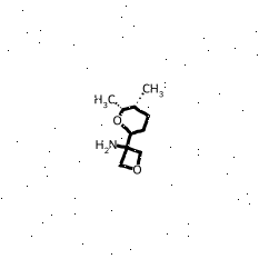 C[C@@H]1CCC(C2(N)COC2)O[C@@H]1C